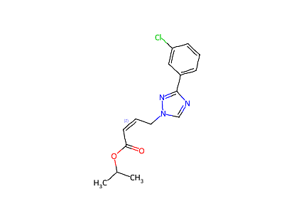 CC(C)OC(=O)/C=C\Cn1cnc(-c2cccc(Cl)c2)n1